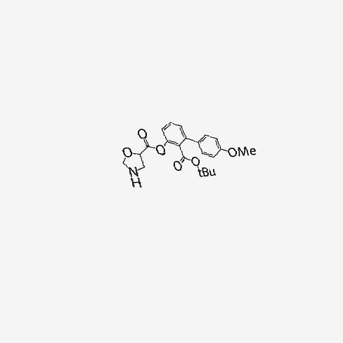 COc1ccc(-c2cccc(OC(=O)C3CNCO3)c2C(=O)OC(C)(C)C)cc1